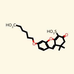 CC1(C)CC(=O)C(S(=O)(=O)O)=C2Oc3cc(OCCCCCC(=O)O)ccc3C=C21